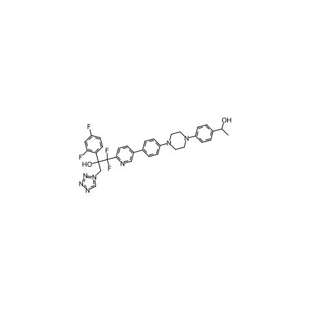 CC(O)c1ccc(N2CCN(c3ccc(-c4ccc(C(F)(F)C(O)(Cn5cnnn5)c5ccc(F)cc5F)nc4)cc3)CC2)cc1